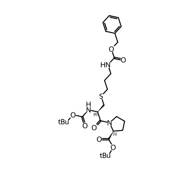 CC(C)(C)OC(=O)N[C@@H](CSCCCNC(=O)OCc1ccccc1)C(=O)N1CCC[C@H]1C(=O)OC(C)(C)C